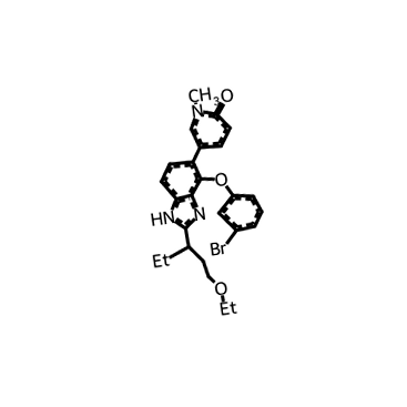 CCOCCC(CC)c1nc2c(Oc3cccc(Br)c3)c(-c3ccc(=O)n(C)c3)ccc2[nH]1